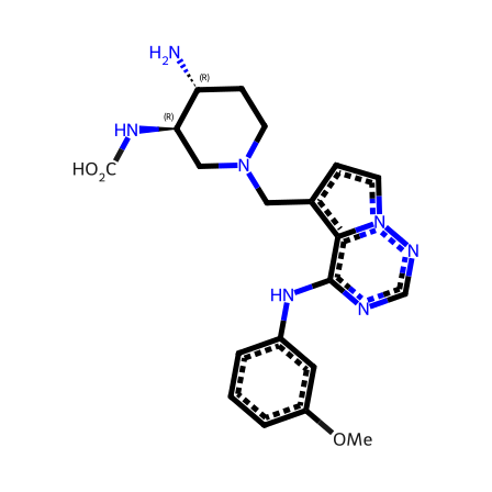 COc1cccc(Nc2ncnn3ccc(CN4CC[C@@H](N)[C@H](NC(=O)O)C4)c23)c1